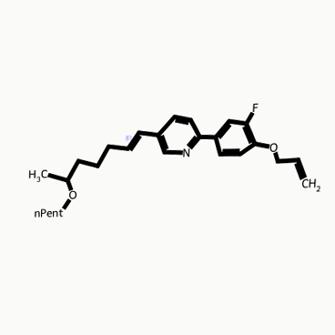 C=CCOc1ccc(-c2ccc(/C=C/CCCC(C)OCCCCC)cn2)cc1F